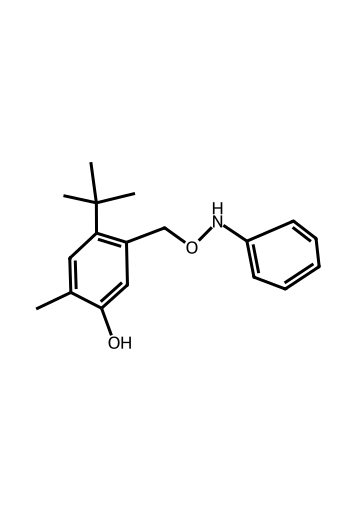 Cc1cc(C(C)(C)C)c(CONc2ccccc2)cc1O